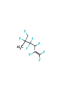 CC(F)(CF)C(F)(F)[C](F)C(F)=C(F)F